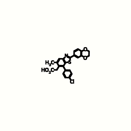 Cc1cc2nc(-c3ccc4c(c3)OCCO4)sc2c(-c2ccc(Cl)cc2)c1CC(=O)O